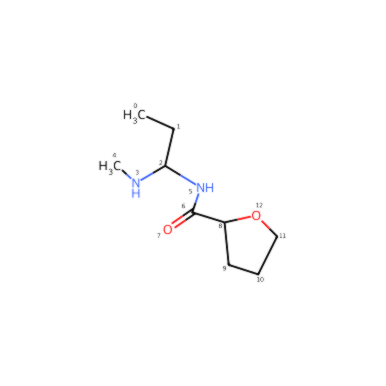 CCC(NC)NC(=O)C1CCCO1